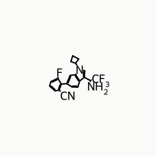 N#Cc1cccc(F)c1-c1ccc2c([C@H](N)C(F)(F)F)cn(C3CCC3)c2c1